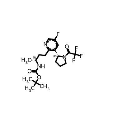 C[C@H](CCc1ncc(F)cc1[C@H]1CCCN1C(=O)C(F)(F)F)NC(=O)OC(C)(C)C